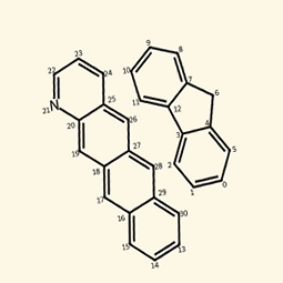 c1ccc2c(c1)Cc1ccccc1-2.c1ccc2cc3cc4ncccc4cc3cc2c1